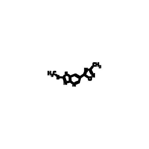 CSc1nc2ncc(-c3nc(C)no3)cc2s1